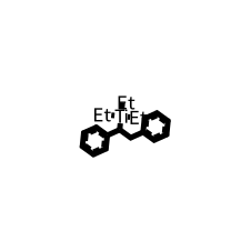 C[CH2][Ti]([CH2]C)([CH2]C)[CH](Cc1ccccc1)c1ccccc1